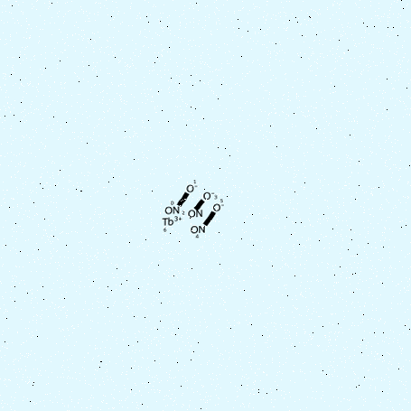 O=N[O-].O=N[O-].O=N[O-].[Tb+3]